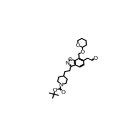 CC(C)(C)OC(=O)N1CCC(CCc2noc3c(COC4CCCCO4)c(CC=O)ccc23)CC1